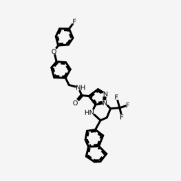 O=C(NCc1ccc(Oc2ccc(F)cc2)cc1)c1cnn2c1NC(c1ccc3ccccc3c1)CC2C(F)(F)F